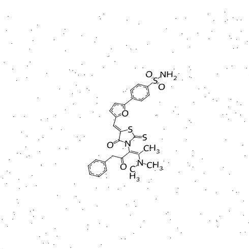 C/C(=C(/C(=O)Cc1ccccc1)N1C(=O)/C(=C/c2ccc(-c3ccc(S(N)(=O)=O)cc3)o2)SC1=S)N(C)C